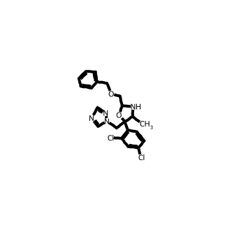 CC1NC(COCc2ccccc2)OC1(Cn1cncn1)c1ccc(Cl)cc1Cl